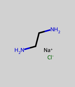 NCCN.[Cl-].[Na+]